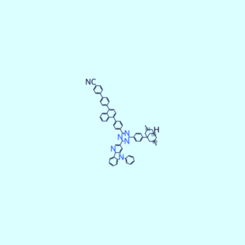 C[C@@H]1C[C@@H]2C[C@H](C)CC(c3ccc(-c4nc(-c5ccc(-c6ccc(-c7ccc(-c8ccc(C#N)cc8)cc7)c7ccccc67)cc5)nc(-c5cnc6c7ccccc7n(-c7ccccc7)c6c5)n4)cc3)(C1)C2